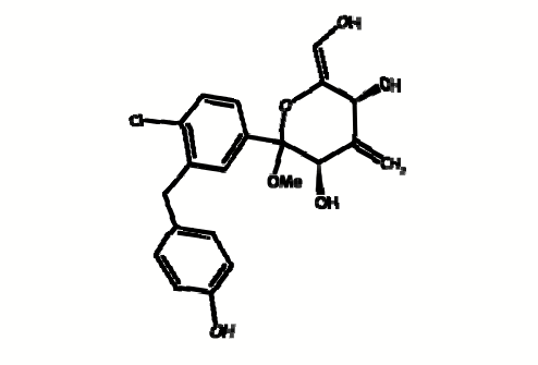 C=C1[C@@H](O)C(OC)(c2ccc(Cl)c(Cc3ccc(O)cc3)c2)O/C(=C/O)[C@H]1O